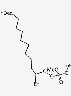 CCCCCCCCCCCCCCCCCCC(CC)OOP(=O)(OC)OCCC